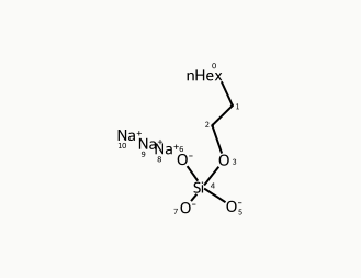 CCCCCCCCO[Si]([O-])([O-])[O-].[Na+].[Na+].[Na+]